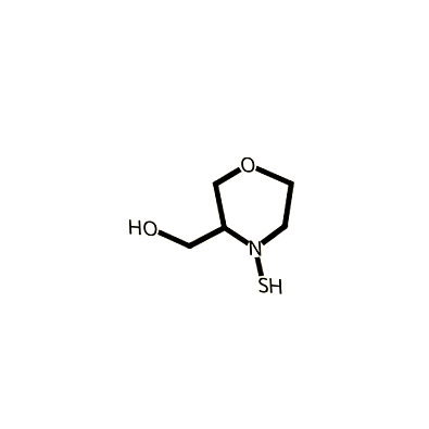 OCC1COCCN1S